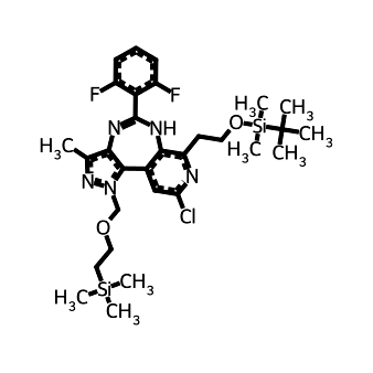 Cc1nn(COCC[Si](C)(C)C)c2c1N=C(c1c(F)cccc1F)Nc1c-2cc(Cl)nc1CCO[Si](C)(C)C(C)(C)C